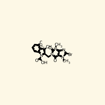 Cc1cccc2c1c(C)c(Cn1c(=O)c3c(nc(Br)n3C)n(C)c1=O)n2C(=O)O